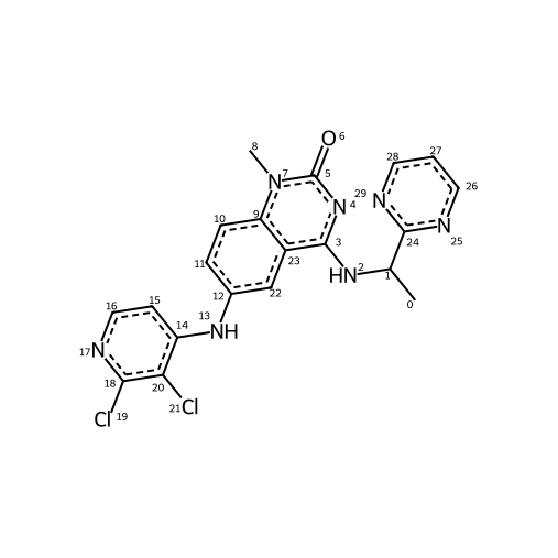 CC(Nc1nc(=O)n(C)c2ccc(Nc3ccnc(Cl)c3Cl)cc12)c1ncccn1